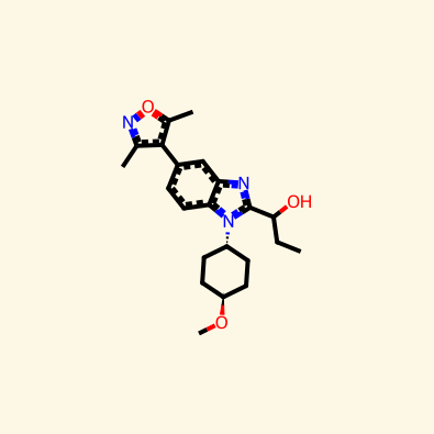 CCC(O)c1nc2cc(-c3c(C)noc3C)ccc2n1[C@H]1CC[C@H](OC)CC1